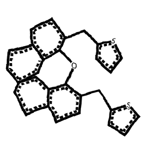 c1csc(Cc2ccc3ccccc3c2Oc2c(Cc3cccs3)ccc3ccccc23)c1